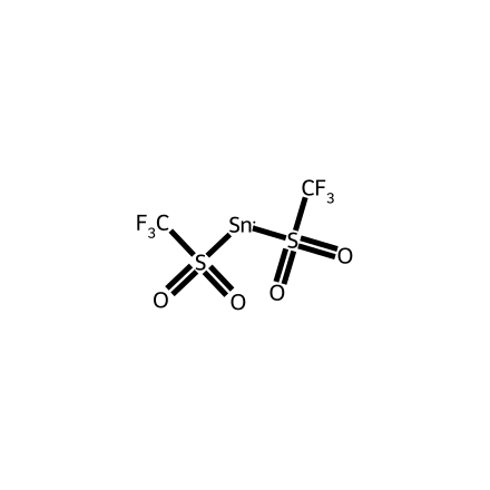 O=[S](=O)([Sn][S](=O)(=O)C(F)(F)F)C(F)(F)F